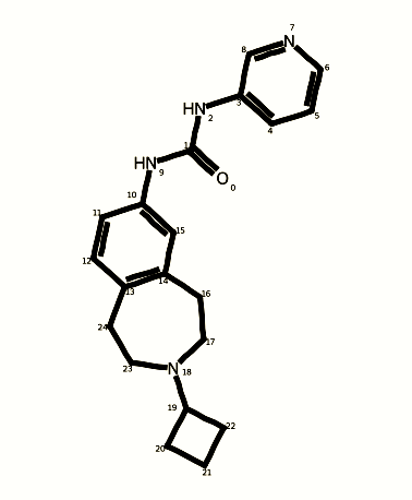 O=C(Nc1cccnc1)Nc1ccc2c(c1)CCN(C1CCC1)CC2